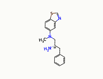 CN(C[C@@H](N)Cc1ccccc1)c1ccc2scnc2c1